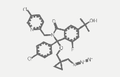 CC(C)(O)c1cc(F)c2c(c1)C(=O)N(Cc1ccc(Cl)cn1)C2(OCC1(CN=[N+]=[N-])CC1)c1ccc(Cl)cc1